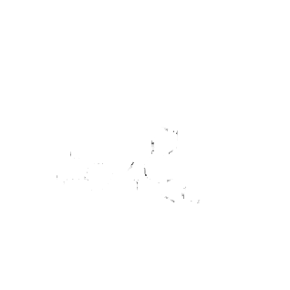 C[C@@H]1C[C@H](c2cc(-c3ccncc3)c(-c3ccc(F)cc3)[nH]2)CCN1C